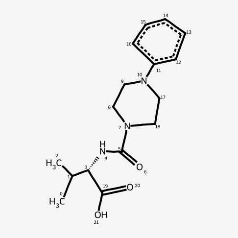 CC(C)[C@H](NC(=O)N1CCN(c2ccccc2)CC1)C(=O)O